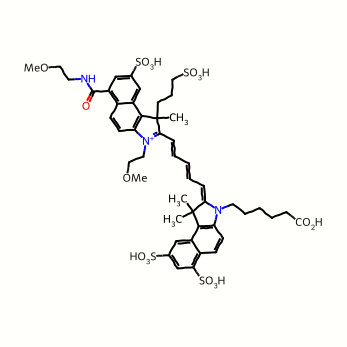 COCCNC(=O)c1cc(S(=O)(=O)O)cc2c3c(ccc12)[N+](CCOC)=C(/C=C/C=C/C=C1/N(CCCCCC(=O)O)c2ccc4c(S(=O)(=O)O)cc(S(=O)(=O)O)cc4c2C1(C)C)C3(C)CCCS(=O)(=O)O